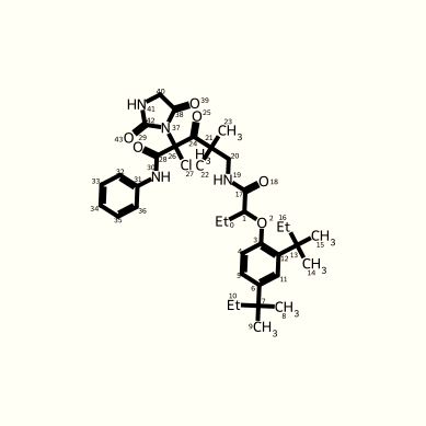 CCC(Oc1ccc(C(C)(C)CC)cc1C(C)(C)CC)C(=O)NCC(C)(C)C(=O)C(Cl)(C(=O)Nc1ccccc1)N1C(=O)CNC1=O